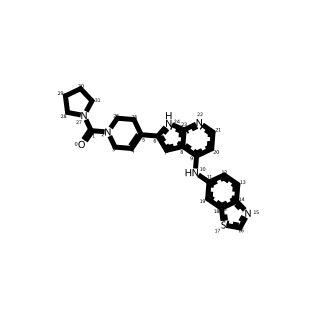 O=C(N1CC=C(c2cc3c(Nc4ccc5ncsc5c4)ccnc3[nH]2)CC1)N1CCCC1